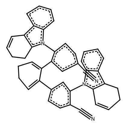 N#Cc1ccc(-n2c3c(c4ccccc42)C=CCC3)c(C2=CCCC=C2c2ccc(C#N)c(-n3c4c(c5ccccc53)CCC=C4)c2)c1